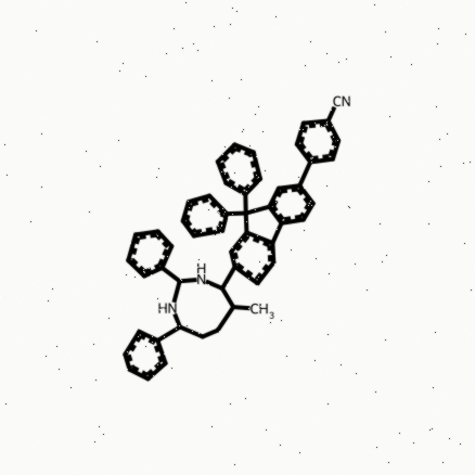 CC1CCC(c2ccccc2)NC(c2ccccc2)NC1c1ccc2c(c1)C(c1ccccc1)(c1ccccc1)c1cc(-c3ccc(C#N)cc3)ccc1-2